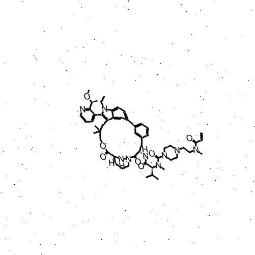 C=CC(=O)N(C)CCN1CCN(C(=O)N(C)[C@H](C(=O)N[C@H]2Cc3cccc(c3)-c3ccc4c(c3)c(c(-c3cccnc3[C@H](C)OC)n4CC)CC(C)(C)COC(=O)[C@@H]3CCCN(N3)C2=O)C(C)C)CC1